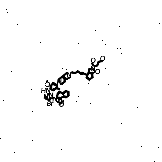 COc1cc(N2CCC3(CCN(CCCC#Cc4cccc5c4CN(C(C=O)CCC=O)C5=O)CC3)CC2)c(C)cc1Nc1ncc(Br)c(Nc2ccc3ccccc3c2P(C)(C)=O)n1